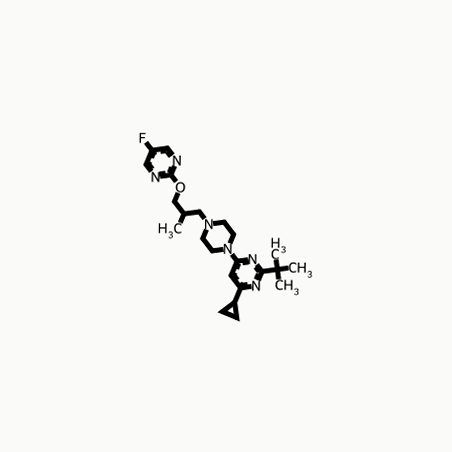 CC(COc1ncc(F)cn1)CN1CCN(c2cc(C3CC3)nc(C(C)(C)C)n2)CC1